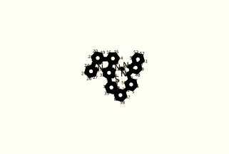 c1ccc(-c2cccc(-c3nc(-n4c5cccc6c7cccc8c9ccccc9n(c9cc%10c%11ccccc%11sc%10c4c9c65)c78)nc4c3ccc3ccccc34)c2)cc1